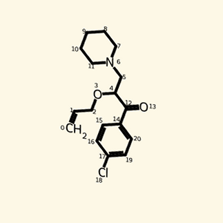 C=CCOC(CN1CCCCC1)C(=O)c1ccc(Cl)cc1